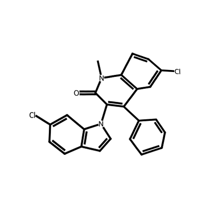 Cn1c(=O)c(-n2ccc3ccc(Cl)cc32)c(-c2ccccc2)c2cc(Cl)ccc21